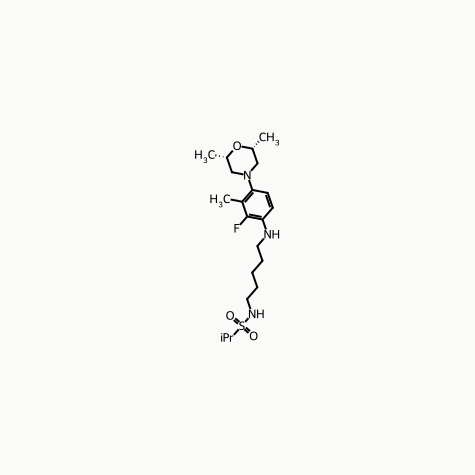 Cc1c(N2C[C@@H](C)O[C@@H](C)C2)ccc(NCCCCCNS(=O)(=O)C(C)C)c1F